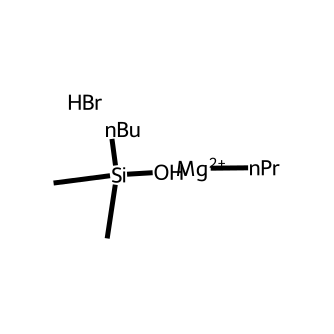 Br.CCCC[Si](C)(C)O.CC[CH2][Mg+2]